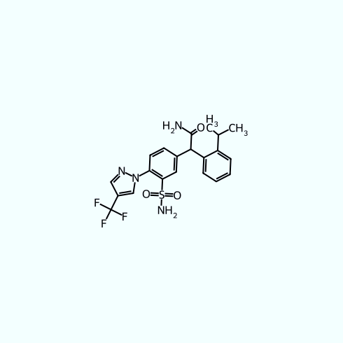 CC(C)c1ccccc1C(C(N)=O)c1ccc(-n2cc(C(F)(F)F)cn2)c(S(N)(=O)=O)c1